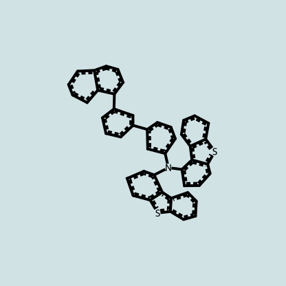 c1cc(-c2cccc(N(c3cccc4sc5ccccc5c34)c3cccc4sc5ccccc5c34)c2)cc(-c2cccc3ccccc23)c1